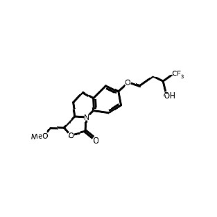 COCC1OC(=O)N2c3ccc(OCCC(O)C(F)(F)F)cc3CCC12